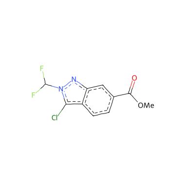 COC(=O)c1ccc2c(Cl)n(C(F)F)nc2c1